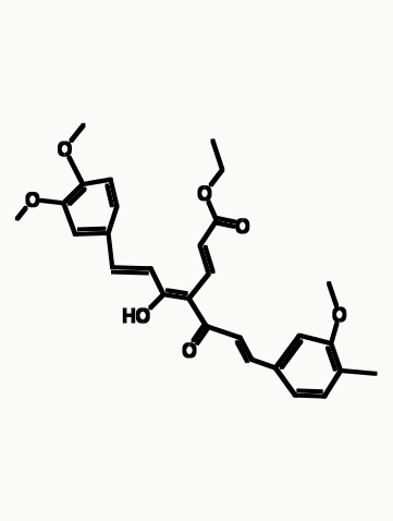 CCOC(=O)/C=C/C(C(=O)/C=C/c1ccc(C)c(OC)c1)=C(O)\C=C\c1ccc(OC)c(OC)c1